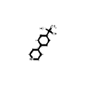 CC(C)(C)C1CCC(C2CCNCC2)CC1